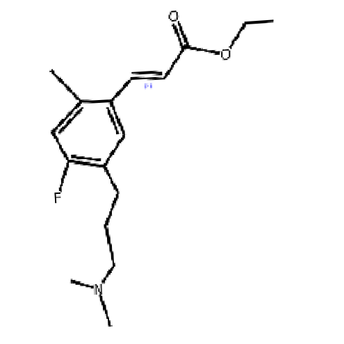 CCOC(=O)/C=C/c1cc(CCCN(C)C)c(F)cc1C